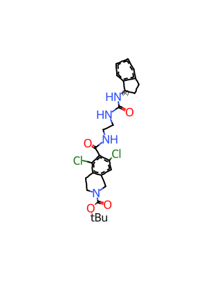 CC(C)(C)OC(=O)N1CCc2c(cc(Cl)c(C(=O)NCCNC(=O)N[C@@H]3CCc4ccccc43)c2Cl)C1